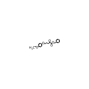 CCOc1ccc(OCCCC(=O)C(=O)OCc2ccccc2)cc1